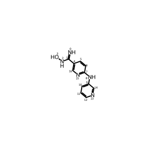 N=C(NO)c1ccc(Nc2cccnc2)nc1